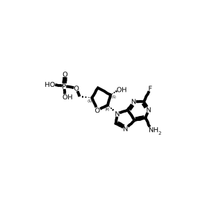 Nc1nc(F)nc2c1ncn2[C@@H]1O[C@H](COP(=O)(O)O)C[C@@H]1O